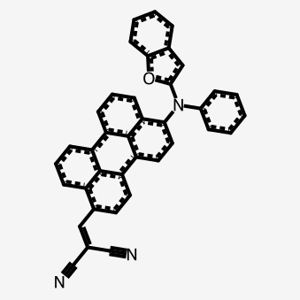 N#CC(C#N)=Cc1ccc2c3ccc(N(c4ccccc4)c4cc5ccccc5o4)c4cccc(c5cccc1c52)c43